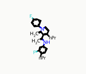 C=C(Nc1ccc(CCC)c(F)c1)C1=C(CCC)C=CN(c2ccc(F)cc2)C1=C